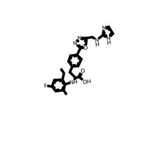 CCc1cc(F)cc(C)c1NC(Cc1ccc(-c2nnc(CNc3ncc[nH]3)o2)cc1)C(=O)O